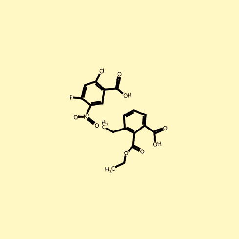 CCOC(=O)c1c(CC)cccc1C(=O)O.O=C(O)c1cc([N+](=O)[O-])c(F)cc1Cl